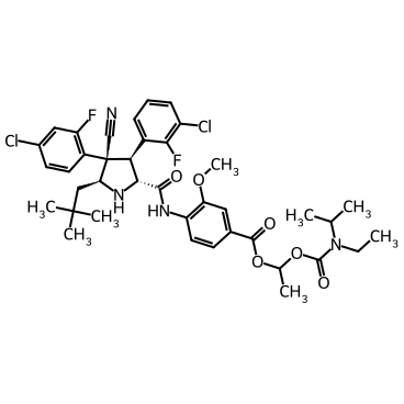 CCN(C(=O)OC(C)OC(=O)c1ccc(NC(=O)[C@@H]2N[C@@H](CC(C)(C)C)[C@](C#N)(c3ccc(Cl)cc3F)[C@H]2c2cccc(Cl)c2F)c(OC)c1)C(C)C